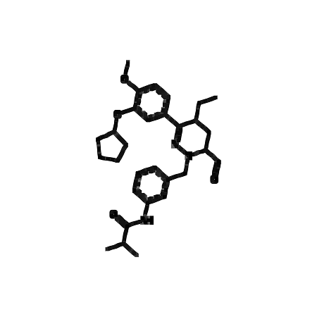 CCC1CC(C=O)N(Cc2cccc(NC(=O)C(C)C)c2)N=C1c1ccc(OC)c(OC2CCCC2)c1